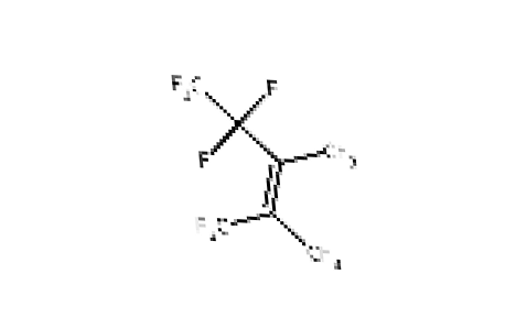 FC(F)(F)C(=C(C(F)(F)F)C(F)(F)C(F)(F)F)C(F)(F)F